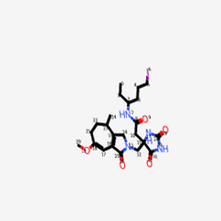 CCC(CCCI)NC(=O)CC1(CN2CC3=C(C=C(OC)CCC3C)C2=O)NC(=O)NC1=O